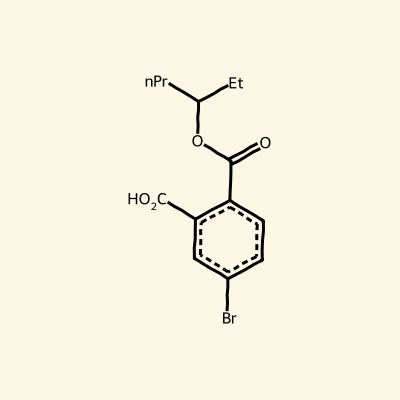 CCCC(CC)OC(=O)c1ccc(Br)cc1C(=O)O